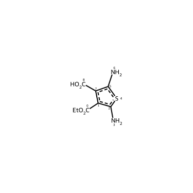 CCOC(=O)c1c(N)sc(N)c1C(=O)O